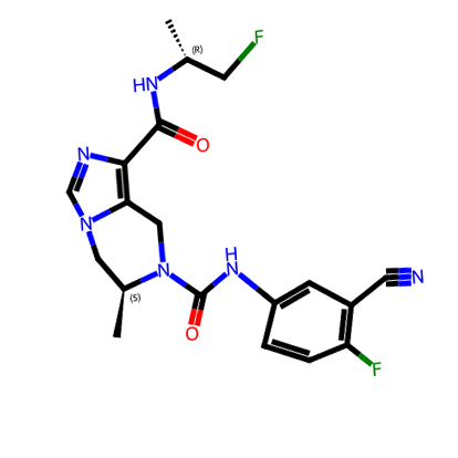 C[C@H](CF)NC(=O)c1ncn2c1CN(C(=O)Nc1ccc(F)c(C#N)c1)[C@@H](C)C2